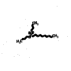 CCCCCCCCCCP(=O)(OCCCC)OCCCC